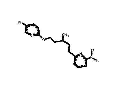 CCN(CC)c1cccc(CCC(C)CCOc2ccc(C(C)C)cn2)n1